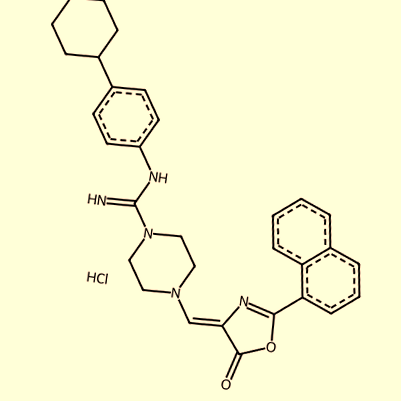 Cl.N=C(Nc1ccc(C2CCCCC2)cc1)N1CCN(C=C2N=C(c3cccc4ccccc34)OC2=O)CC1